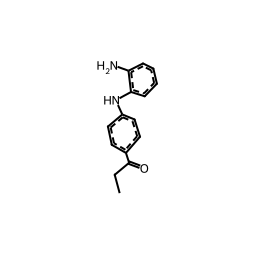 CCC(=O)c1ccc(Nc2ccccc2N)cc1